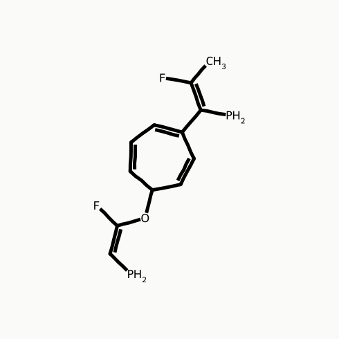 C/C(F)=C(\P)C1=CC=CC(O/C(F)=C\P)C=C1